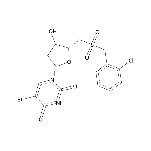 CCc1cn([C@@H]2CC(O)[C@H](CS(=O)(=O)Cc3ccccc3Cl)O2)c(=O)[nH]c1=O